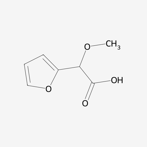 COC(C(=O)O)c1ccco1